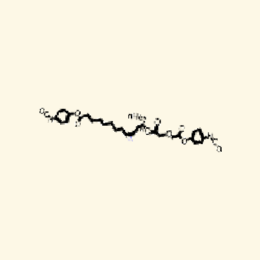 CCCCCC[C@H](C/C=C\CCCCCCCC(=O)Oc1ccc(N=C=O)cc1)OC(=O)COCC(=O)Oc1ccc(N=C=O)cc1